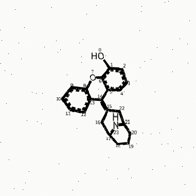 Oc1cccc2c1Oc1ccccc1C2=C1CC2CCCC(C1)N2